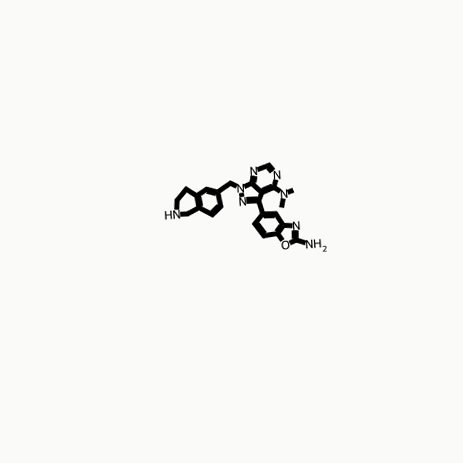 CN(C)c1ncnc2c1c(-c1ccc3oc(N)nc3c1)nn2Cc1ccc2c(c1)CCNC2